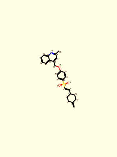 C=C1CCC(/C=C/S(=O)(=O)c2ccc(OCc3cc(C)nc4ccccc34)cc2)CC1